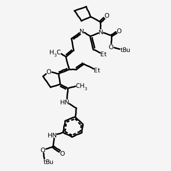 CC/C=C(/N=C\C=C(/C)C(/C=C/CC)=C1OCC/C1=C(/C)NCc1cccc(NC(=O)OC(C)(C)C)c1)N(C(=O)OC(C)(C)C)C(=O)C1CCC1